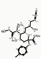 COC(=O)[C@]1(Sc2ccc(C)cc2)C[C@H](OC(C)=O)[C@@H](N(C(C)=O)C(=O)OC(C)(C)C)[C@H]([C@H](OC(C)=O)[C@@H](CN=[N+]=[N-])OC(C)=O)O1